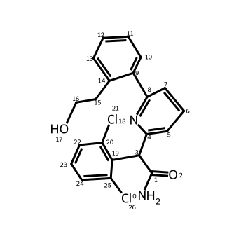 NC(=O)C(c1cccc(-c2ccccc2CCO)n1)c1c(Cl)cccc1Cl